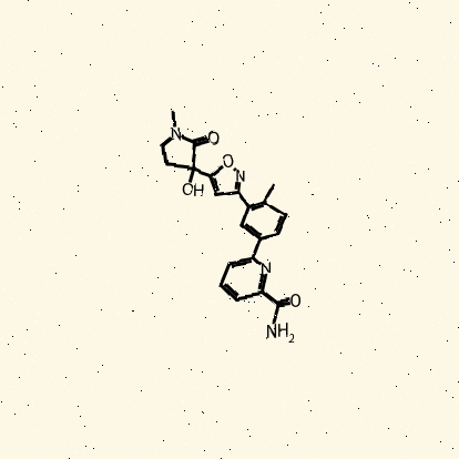 Cc1ccc(-c2cccc(C(N)=O)n2)cc1-c1cc(C2(O)CCN(C)C2=O)on1